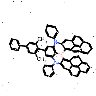 Cc1cc(-c2ccccc2)cc(C)c1-c1cc2c3c(c1)N(c1ccccc1)c1cc4ccc5cccc6ccc(c1B3c1c(cc3ccc7cccc8ccc1c3c78)N2c1ccccc1)c4c56